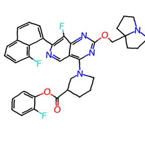 O=C(Oc1ccccc1F)C1CCCN(c2nc(OCC34CCCN3CCC4)nc3c(F)c(-c4cccc5cccc(F)c45)ncc23)C1